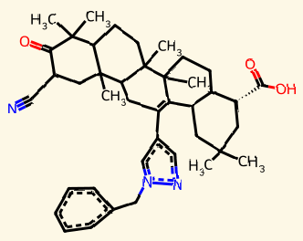 CC1(C)CC2C3=C(c4cnn(Cc5ccccc5)c4)CC4C5(C)CC(C#N)C(=O)C(C)(C)C5CCC4(C)C3(C)CCC2[C@H](C(=O)O)C1